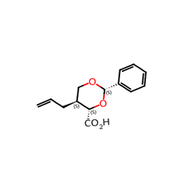 C=CC[C@H]1CO[C@H](c2ccccc2)O[C@@H]1C(=O)O